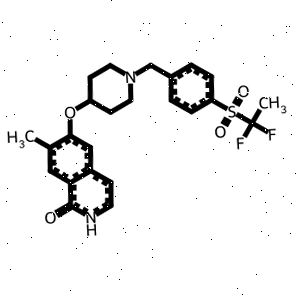 Cc1cc2c(=O)[nH]ccc2cc1OC1CCN(Cc2ccc(S(=O)(=O)C(C)(F)F)cc2)CC1